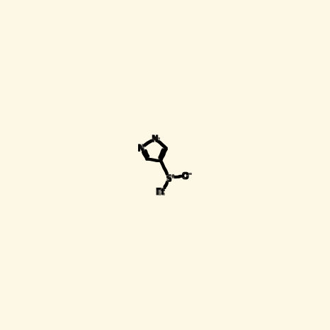 CC[S+]([O-])C1=C[N]N=C1